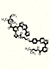 CCN(CC)[C@@H](C)CNC(=O)c1cc(-c2cnn3ccc(-c4cccs4)nc23)nc(N2CC[C@H]2C(=O)NCCOCc2ccc(-c3ccn4ncc(-c5cc(C(=O)NCCN(C)C)ccn5)c4n3)cc2)c1